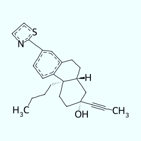 CC#C[C@@]1(O)CC[C@@]2(CCCC)c3ccc(-c4nccs4)cc3CC[C@@H]2C1